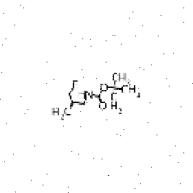 C=C(CF)CNC(=O)OC(C)(C)C